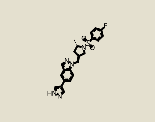 C[C@H]1CC(Cn2ncc3cc(-c4cn[nH]c4)ccc32)CN1S(=O)(=O)c1ccc(F)cc1